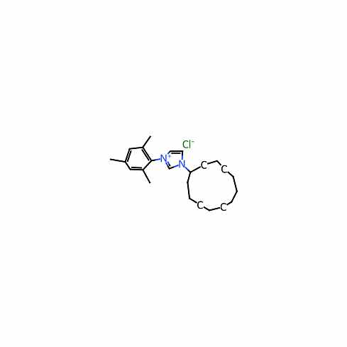 Cc1cc(C)c(-[n+]2ccn(C3CCCCCCCCCCC3)c2)c(C)c1.[Cl-]